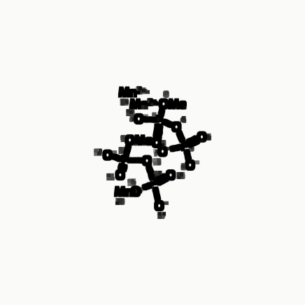 COP(=O)([O-])OP(=O)([O-])[O-].COP(=O)([O-])OP(=O)([O-])[O-].[Mn+2].[Mn+2].[Mn+2]